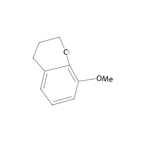 COc1cccc2c1[C]CCC2